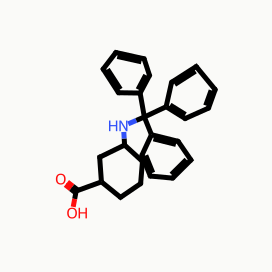 O=C(O)C1CCCC(NC(c2ccccc2)(c2ccccc2)c2ccccc2)C1